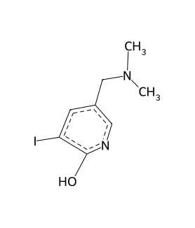 CN(C)Cc1cnc(O)c(I)c1